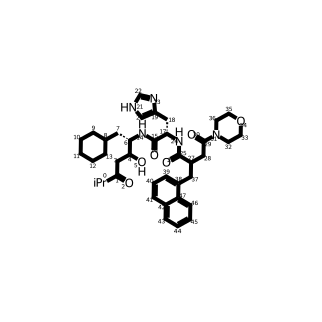 CC(C)C(=O)CC(O)[C@H](CC1CCCCC1)NC(=O)[C@H](Cc1c[nH]cn1)NC(=O)C(CC(=O)N1CCOCC1)Cc1cccc2ccccc12